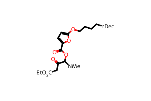 CCCCCCCCCCCCCCOc1ccc(C(=O)OC(NC)C(=O)CC(=O)OCC)o1